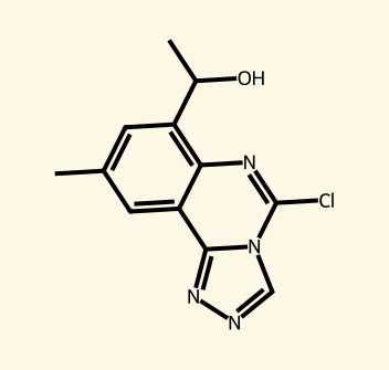 Cc1cc(C(C)O)c2nc(Cl)n3cnnc3c2c1